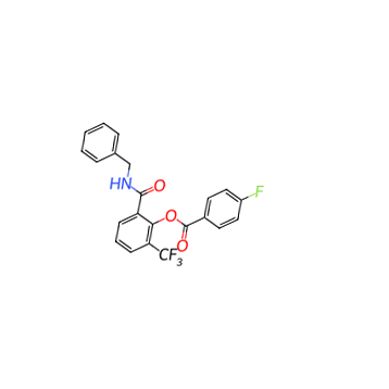 O=C(Oc1c(C(=O)NCc2ccccc2)cccc1C(F)(F)F)c1ccc(F)cc1